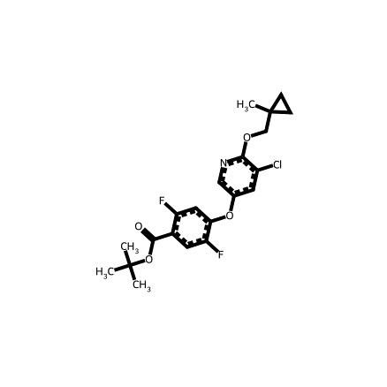 CC1(COc2ncc(Oc3cc(F)c(C(=O)OC(C)(C)C)cc3F)cc2Cl)CC1